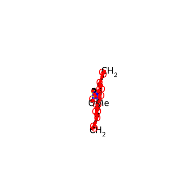 C=CC(=O)OCCCCCCOc1ccc(C(=O)Oc2ccc(C(=O)OCCc3ccc(OC(=O)c4ccc(OC(=O)c5ccc(OCCCCCCOC(=O)C=C)cc5)cc4)c(/C=N/N(CCOCCOC)c4nc5ccccc5s4)c3)cc2)cc1